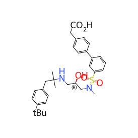 CN(C[C@H](O)CNC(C)(C)Cc1ccc(C(C)(C)C)cc1)S(=O)(=O)c1cccc(-c2ccc(CC(=O)O)cc2)c1